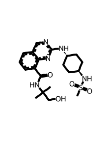 CC(C)(CO)NC(=O)c1cccc2cnc(N[C@H]3CC[C@H](NS(C)(=O)=O)CC3)nc12